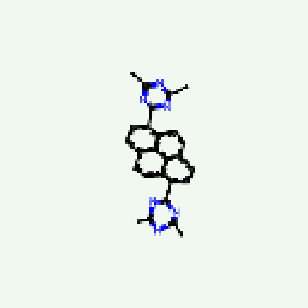 Cc1nc(C)nc(-c2ccc3ccc4c(-c5nc(C)nc(C)n5)ccc5ccc2c3c54)n1